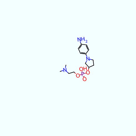 CN(C)CCOP(=O)(O)OC1CCN(c2ccc(N)cc2)C1